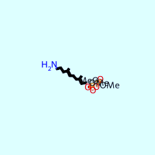 COP(=O)(OC)OP(=O)(OC)OC/C=C(\C)CC/C=C(\C)CCCN